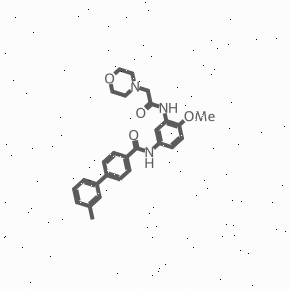 COc1ccc(NC(=O)c2ccc(-c3cccc(C)c3)cc2)cc1NC(=O)CN1CCOCC1